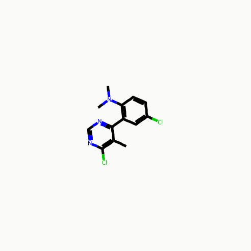 Cc1c(Cl)ncnc1-c1cc(Cl)ccc1N(C)C